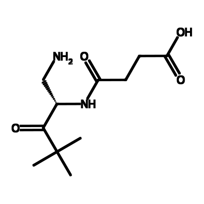 CC(C)(C)C(=O)[C@H](CN)NC(=O)CCC(=O)O